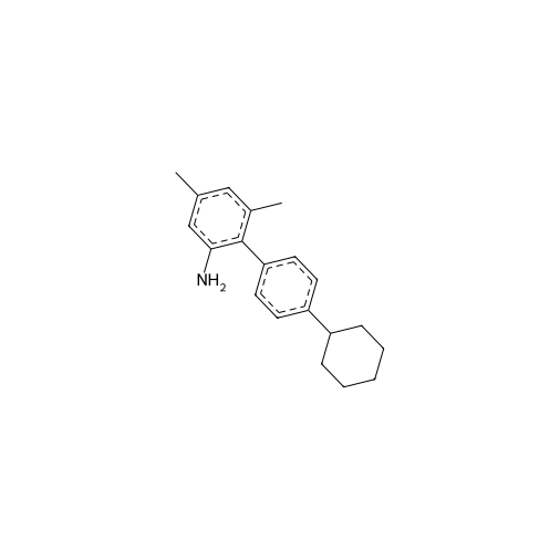 Cc1cc(C)c(-c2ccc(C3CCCCC3)cc2)c(N)c1